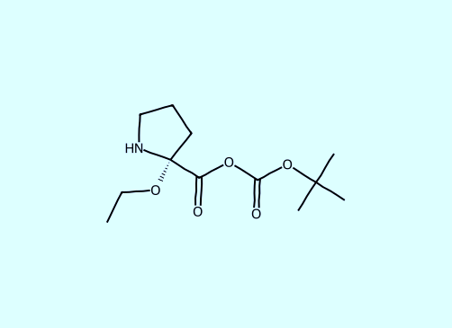 CCO[C@@]1(C(=O)OC(=O)OC(C)(C)C)CCCN1